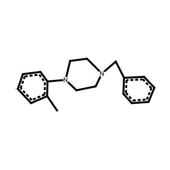 Cc1c[c]ccc1N1CCN(Cc2ccccc2)CC1